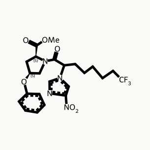 COC(=O)[C@@H]1C[C@H](Oc2ccccc2)CN1C(=O)C(CCCCCC(F)(F)F)n1cnc([N+](=O)[O-])c1